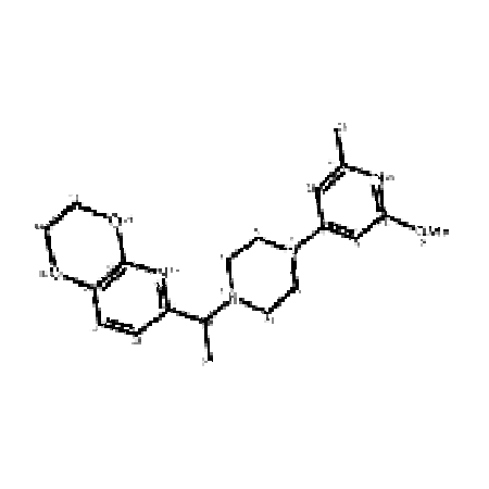 COc1cc(N2CCN(C(C)c3ccc4c(n3)OCCO4)CC2)cc(C)n1